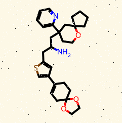 NC(Cc1cc(C2=CCC3(CC2)OCCO3)cs1)CC1(c2ccccn2)CCOC2(CCCC2)C1